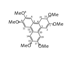 COC1=Cc2c(c3cc(OC)c(OC)cc3c3cc(OC)c(OC)cc23)CC1OC